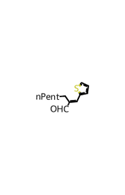 CCCCCCC(C=O)=Cc1cccs1